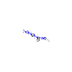 CCCCc1ccc(N=Nc2ccc(N=Nc3ccc(N=Nc4ccc(N(CC)CC)cc4)cc3C)c3ccccc23)cc1